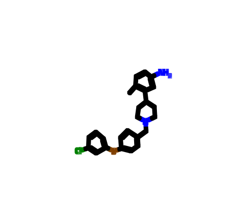 Cc1ccc(N)cc1C1CCN(Cc2ccc(Sc3cccc(Cl)c3)cc2)CC1